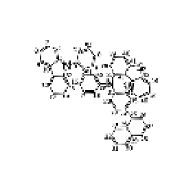 c1ccc(-n2c3ccccc3c3cccc(-c4ccc(N(c5ccc(-c6cccc7ccccc67)cc5)c5cccc6sc7ccccc7c56)cc4)c32)cc1